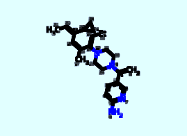 C=C(c1ccc(N)nc1)N1CCN(C(=C\CC)/C(C)=C\C(=C/C)C2CC2)CC1